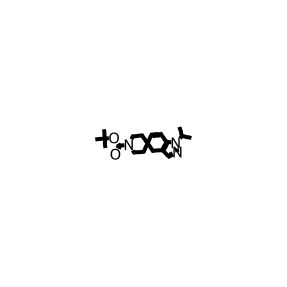 CC(C)n1ncc2c1C=CC1(CCN(C(=O)OC(C)(C)C)CC1)C2